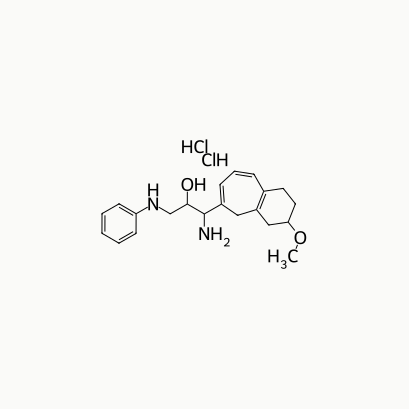 COC1CCC2=C(CC(C(N)C(O)CNc3ccccc3)=CC=C2)C1.Cl.Cl